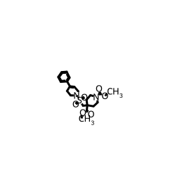 COC(=O)N1CCC(CS(=O)(=O)N2CC=C(c3ccccc3)CC2)(C(=O)OC)CC1